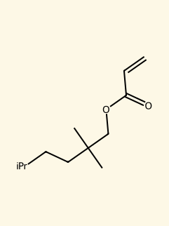 C=CC(=O)OCC(C)(C)CCC(C)C